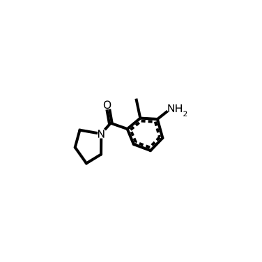 Cc1c(N)cccc1C(=O)N1CCCC1